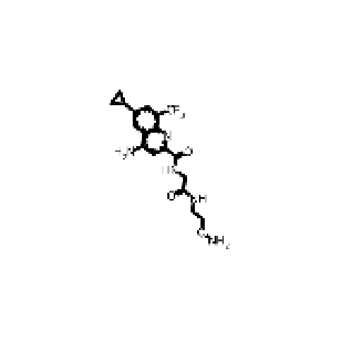 NOCCNC(=O)CNC(=O)c1cc(N)c2cc(C3CC3)cc(C(F)(F)F)c2n1